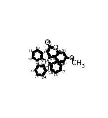 COc1ccc2c([PH](c3ccccc3)(c3ccccc3)c3ccccc3)cc(=O)oc2c1